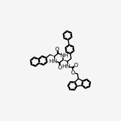 O=C(NC(Cc1ccc(-c2ccccc2)cc1)[C@@H]1NC(=O)[C@H](Cc2ccc3ccccc3c2)NC1=O)OCC1c2ccccc2-c2ccccc21